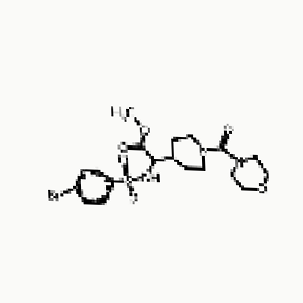 COC(=O)C(NS(=O)(=O)c1ccc(Br)cc1)C1CCN(C(=O)N2CCOCC2)CC1